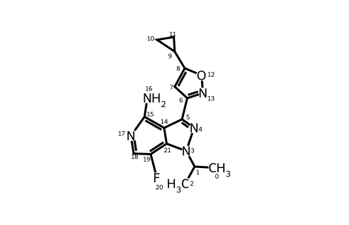 CC(C)n1nc(-c2cc(C3CC3)on2)c2c(N)ncc(F)c21